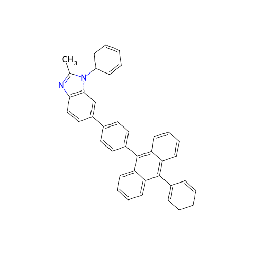 Cc1nc2ccc(-c3ccc(-c4c5ccccc5c(C5=CCCC=C5)c5ccccc45)cc3)cc2n1C1C=CC=CC1